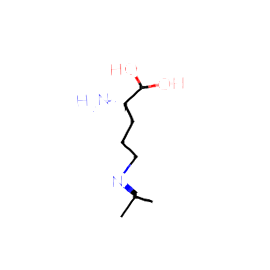 CC(C)=NCCC[C@H](N)C(O)O